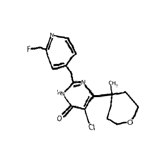 CC1(c2nc(-c3ccnc(F)c3)[nH]c(=O)c2Cl)CCOCC1